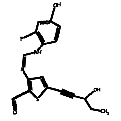 CCC(O)C#Cc1cc(/N=C\Nc2ccc(O)cc2F)c(C=O)s1